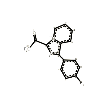 O=C(c1nc(-c2ccc(F)cc2)c2ccccn12)C(F)(F)F